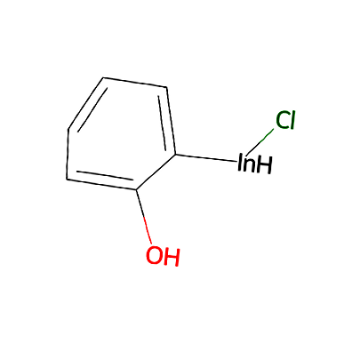 Oc1cccc[c]1[InH][Cl]